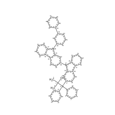 CC(C)(C)[Si](c1ccccc1)(c1ccccc1)c1ccc2c3ccccc3n(-c3ccc4c5ccccc5n(-c5cccc(-c6ccccc6)c5)c4c3)c2c1